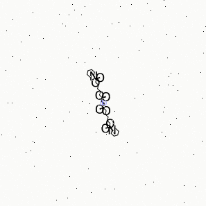 O=C(/C=C/C(=O)OCCCOC(=O)N1CCCCC1)OCCCOC(=O)N1CCCCC1